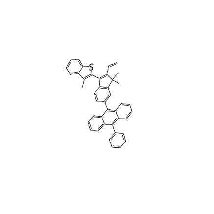 C=CC1=C(c2sc3ccccc3c2C)c2ccc(-c3c4ccccc4c(-c4ccccc4)c4ccccc34)cc2C1(C)C